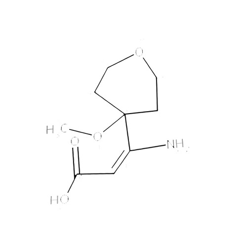 COC1(/C(N)=C\C(=O)O)CCOCC1